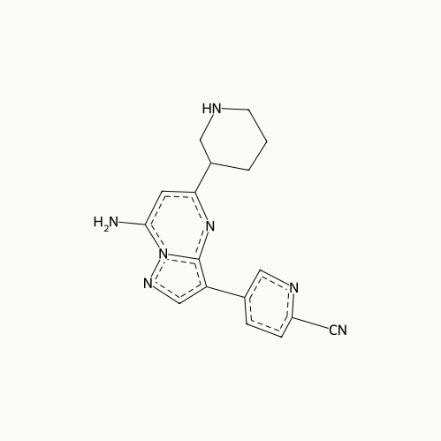 N#Cc1ccc(-c2cnn3c(N)cc(C4CCCNC4)nc23)cn1